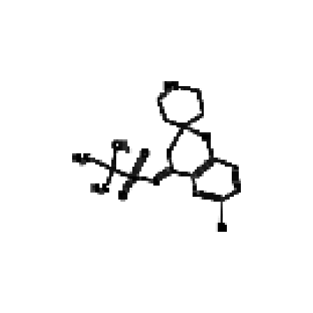 CC(C)(C)S(=O)(=O)N=C1CC2(CCNCC2)Oc2ccc(Br)cc21